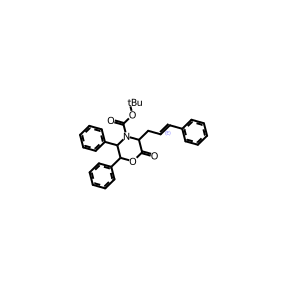 CC(C)(C)OC(=O)N1C(C/C=C/c2ccccc2)C(=O)OC(c2ccccc2)C1c1ccccc1